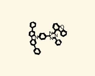 c1ccc(-c2ccc3c4ccc(-c5ccccc5)cc4n(-c4ccc(-c5nc(-c6ccccc6)nc(-c6cccc7oc8ccccc8c67)n5)cc4)c3c2)cc1